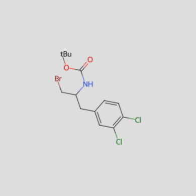 CC(C)(C)OC(=O)NC(CBr)Cc1ccc(Cl)c(Cl)c1